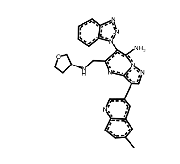 Cc1ccc2ncc(-c3cnn4c(N)c(-n5nnc6ccccc65)c(CN[C@H]5CCOC5)nc34)cc2c1